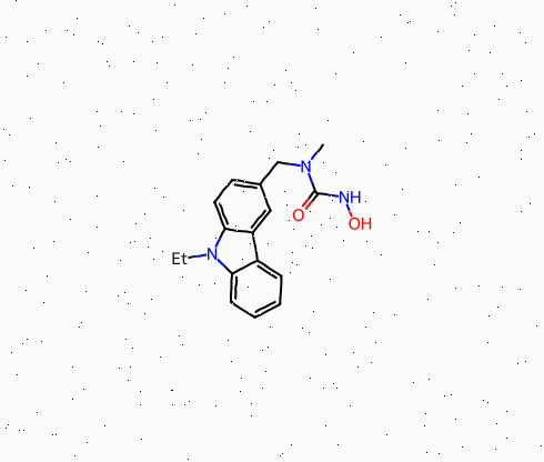 CCn1c2ccccc2c2cc(CN(C)C(=O)NO)ccc21